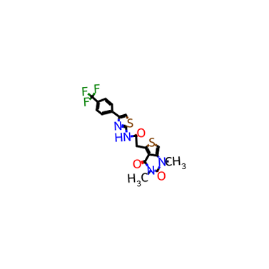 Cn1c(=O)c2c(CC(=O)Nc3nc(-c4ccc(C(F)(F)F)cc4)cs3)scc2n(C)c1=O